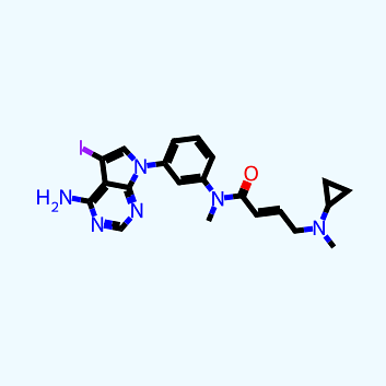 CN(C(=O)/C=C/CN(C)C1CC1)c1cccc(-n2cc(I)c3c(N)ncnc32)c1